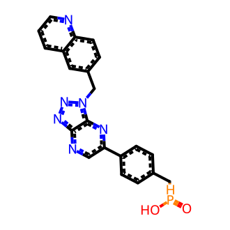 O=[PH](O)Cc1ccc(-c2cnc3nnn(Cc4ccc5ncccc5c4)c3n2)cc1